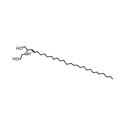 CCCCCCCCCCCCCCCCCCCCCCCC/C=C/C(CO)NCCO